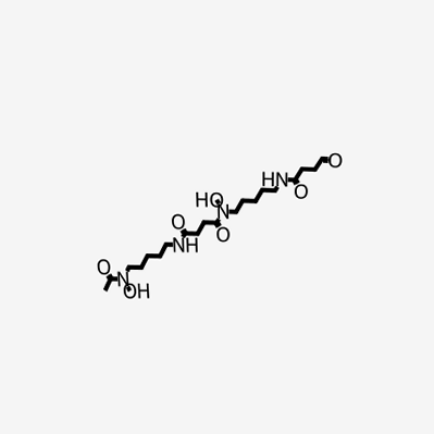 CC(=O)N(O)CCCCCNC(=O)CCC(=O)N(O)CCCCCNC(=O)CCC=O